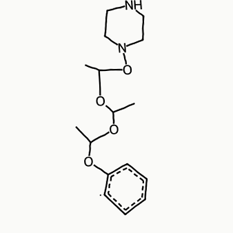 CC(Oc1[c]cccc1)OC(C)OC(C)ON1CCNCC1